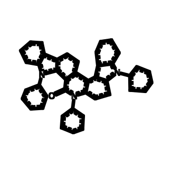 O=c1c2c(ccc3c4ccccc4n(-c4ccccc4)c32)c2c3c4ccccc4n(-c4ccccc4)c3ccc2n1-c1ccccc1